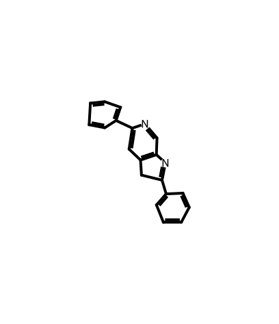 c1ccc(C2=Nc3cnc(-c4ccccc4)cc3C2)cc1